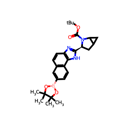 CC(C)(C)OC(=O)N1C2CC2C[C@H]1c1nc2ccc3cc(B4OC(C)(C)C(C)(C)O4)ccc3c2[nH]1